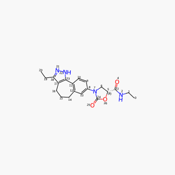 CCNC(=O)[C@H]1CN(c2ccc3c(c2)CCCc2c(CC)n[nH]c2-3)C(=O)O1